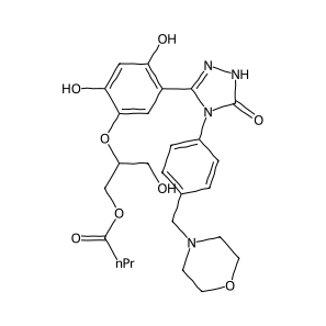 CCCC(=O)OCC(CO)Oc1cc(-c2n[nH]c(=O)n2-c2ccc(CN3CCOCC3)cc2)c(O)cc1O